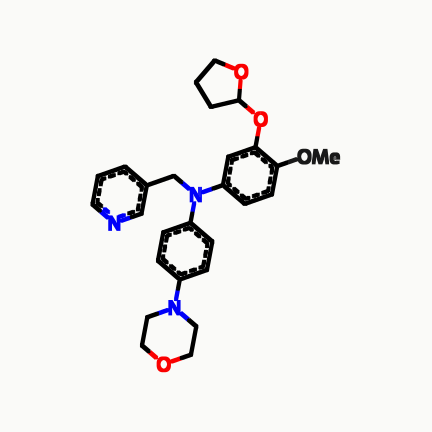 COc1ccc(N(Cc2cccnc2)c2ccc(N3CCOCC3)cc2)cc1OC1CCCO1